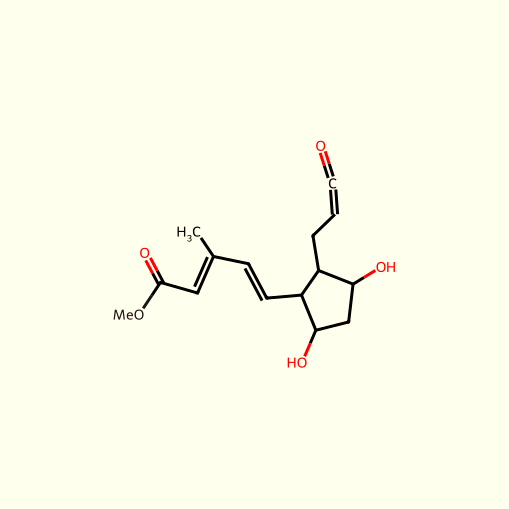 COC(=O)C=C(C)C=CC1C(O)CC(O)C1CC=C=O